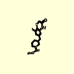 COBN1CCCC(Cc2cc(F)c3c(c2)NC(=O)CO3)C1